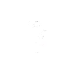 CNC(=O)C1CCCC(=O)N1C(c1ccc(NC2Cc3ccc(Cl)cc3C2)cn1)C(F)(F)F